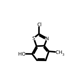 Cc1ccc(O)c2sc(Cl)nc12